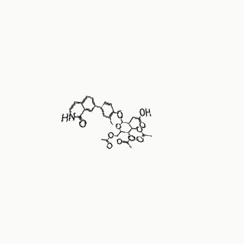 CC(=O)OCC1OC(Oc2ccc(-c3ccc4cc[nH]c(=O)c4c3)cc2C)C(CC(=O)O)C(OC(C)=O)C1OC(C)=O